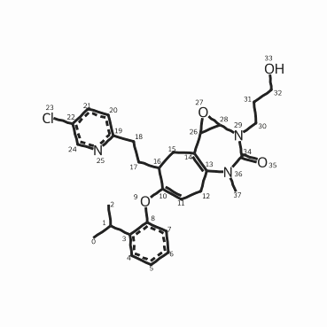 CC(C)c1ccccc1OC1=CCC2=C(CC1CCc1ccc(Cl)cn1)C1OC1N(CCCO)C(=O)N2C